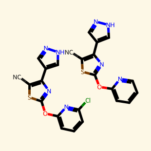 N#Cc1sc(Oc2cccc(Cl)n2)nc1-c1cn[nH]c1.N#Cc1sc(Oc2ccccn2)nc1-c1cn[nH]c1